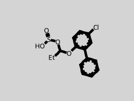 CCC(Oc1ccc(Cl)cc1-c1ccccc1)OS(=O)O